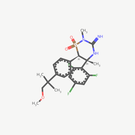 COCC(C)(C)c1ccc([C@@H]2[C@@](C)(c3c(F)cc(F)cc3F)NC(=N)N(C)S2(=O)=O)cc1